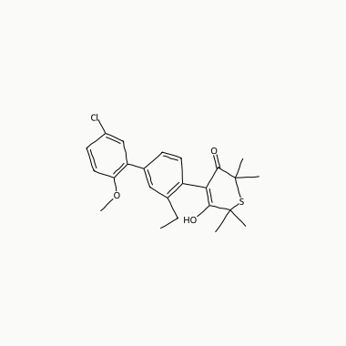 CCc1cc(-c2cc(Cl)ccc2OC)ccc1C1=C(O)C(C)(C)SC(C)(C)C1=O